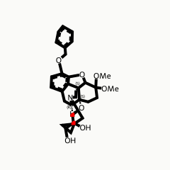 COC1(OC)CC[C@@]2(OCC(O)CO)[C@H]3Cc4ccc(OCc5ccccc5)c5c4[C@@]2(CCN3CC2CC2)C1O5